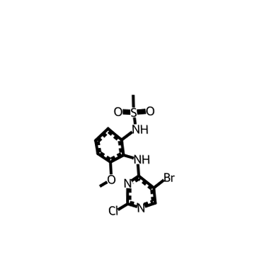 COc1cccc(NS(C)(=O)=O)c1Nc1nc(Cl)ncc1Br